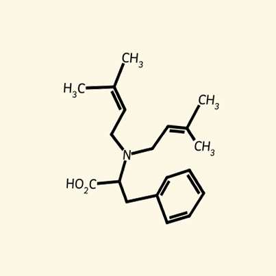 CC(C)=CCN(CC=C(C)C)C(Cc1ccccc1)C(=O)O